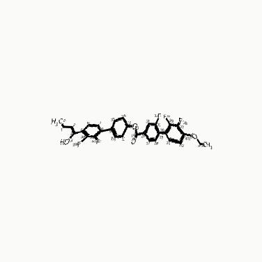 CCCC(O)c1ccc(C2=CCC(OC(=O)c3ccc(-c4ccc(OCC)c(F)c4F)c(F)c3)CC2)c(F)c1F